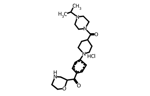 CC(C)N1CCN(C(=O)C2CCN(c3ccc(C(=O)C4CNCCO4)cc3)CC2)CC1.Cl